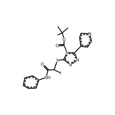 CC(C)(C)OC(=O)n1c(SC(I)C(=O)Nc2ccccc2)nnc1-c1ccncc1